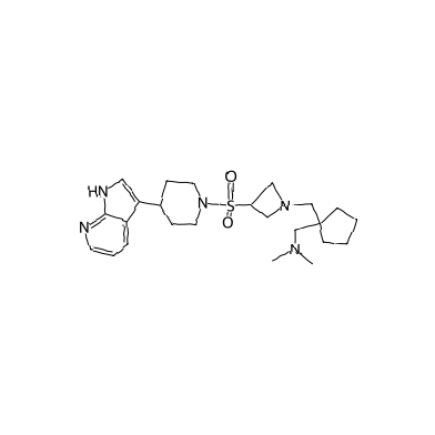 CN(C)CC1(CN2CC(S(=O)(=O)N3CCC(c4c[nH]c5ncccc45)CC3)C2)CCCC1